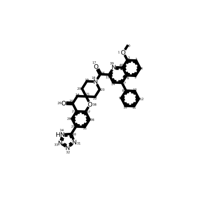 COc1cccc2c(-c3ccccc3)cc(C(=O)N3CCC4(CC3)CC(=O)c3cc(-c5nnn[nH]5)ccc3O4)nc12